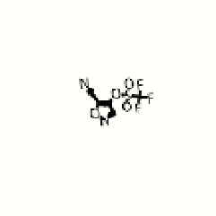 N#Cc1oncc1OS(=O)(=O)C(F)(F)F